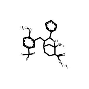 COC(=O)C1CCC2CC1(N)NC(c1ccccc1)C2Cc1cc(C(F)(F)F)ccc1OC